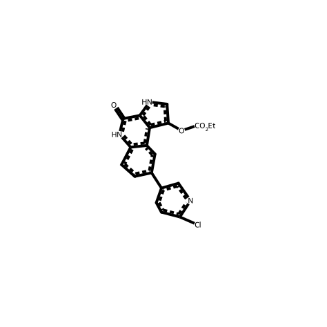 CCOC(=O)Oc1c[nH]c2c(=O)[nH]c3ccc(-c4ccc(Cl)nc4)cc3c12